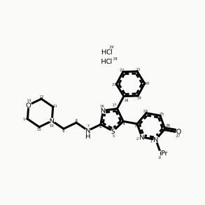 CC(C)n1nc(-c2sc(NCCN3CCOCC3)nc2-c2ccccc2)ccc1=O.Cl.Cl